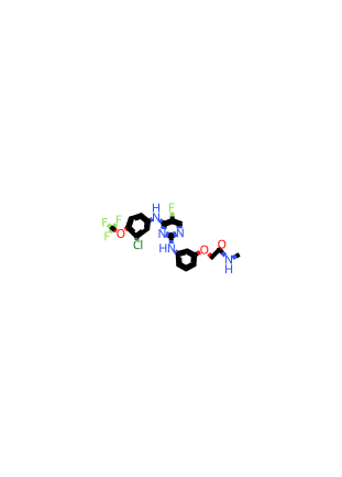 CNC(=O)COc1cccc(Nc2ncc(F)c(Nc3ccc(OC(F)(F)F)c(Cl)c3)n2)c1